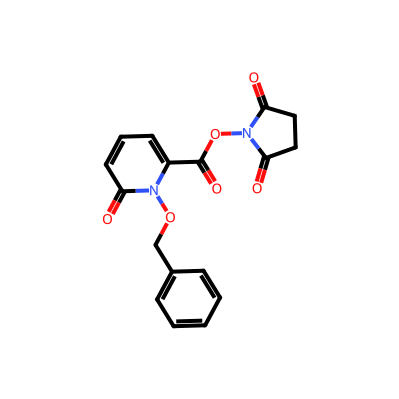 O=C(ON1C(=O)CCC1=O)c1cccc(=O)n1OCc1ccccc1